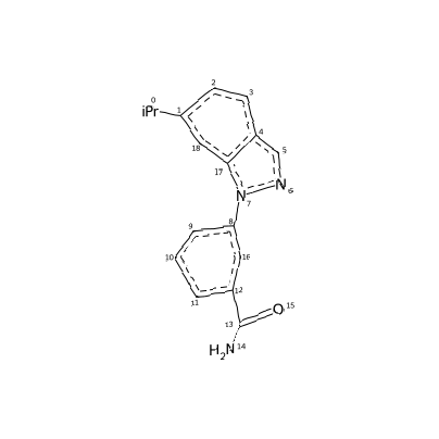 CC(C)c1ccc2cnn(-c3cccc(C(N)=O)c3)c2c1